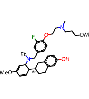 CCN(Cc1ccc(OCCN(C)CCCOC)c(F)c1)C1C=C(OC)C=CC1[C@@H]1CCc2cc(O)ccc2C1